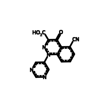 N#Cc1cccc2c1c(=O)c(C(=O)O)nn2-c1cncnc1